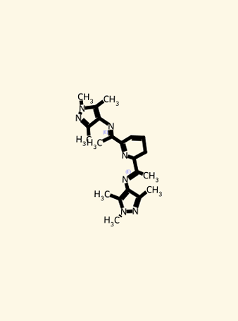 C/C(=N\c1c(C)nn(C)c1C)C1=NC(/C(C)=N/c2c(C)nn(C)c2C)CC=C1